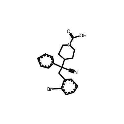 N#CC(Cc1ccccc1Br)(c1ccccc1)C1CCN(C(=O)O)CC1